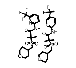 CC(C)(C(=O)Nc1ccc(C(F)(F)F)cn1)S(=O)(=O)CC1CCOCC1.CC(C)(C(=O)Nc1cccc(C(F)(F)F)n1)S(=O)(=O)CC1CCOCC1